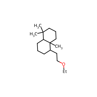 CCOCCC1CCCC2C(C)(C)CCCC12C